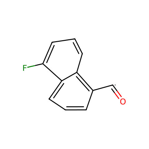 O=[C]c1cccc2c(F)cccc12